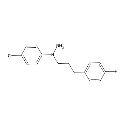 NN(CCCc1ccc(F)cc1)c1ccc(Cl)cc1